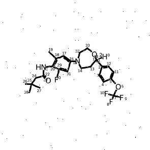 [2H][C@@]1(c2ccc(OC(F)(F)F)cc2)CCN(c2cc(C)c(NC(=O)CC(C)(C)C)c(F)c2)CCO1